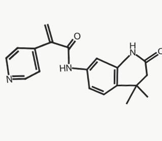 C=C(C(=O)Nc1ccc2c(c1)NC(=O)CC2(C)C)c1ccncc1